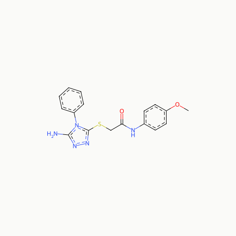 COc1ccc(NC(=O)CSc2nnc(N)n2-c2ccccc2)cc1